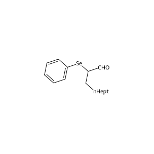 CCCCCCCCC(C=O)[Se]c1ccccc1